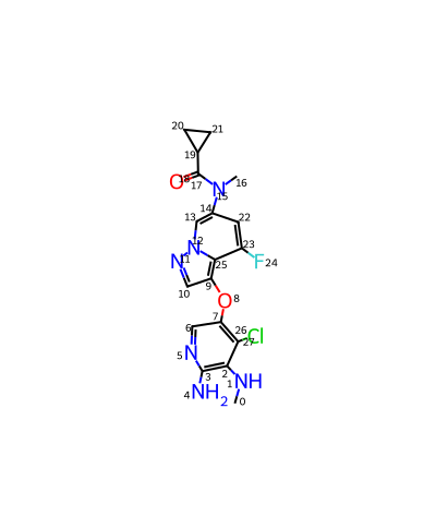 CNc1c(N)ncc(Oc2cnn3cc(N(C)C(=O)C4CC4)cc(F)c23)c1Cl